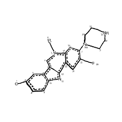 CCn1cc2c3cc(Cl)ccc3nc-2c2cc(F)c(N3CCNCC3)nc21